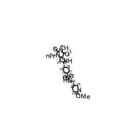 CCCn1c(=O)n(C)c(=O)c2[nH]c(-c3ccc(S(=O)(=O)NCc4ccc(OC)nc4)cc3)cc21